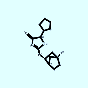 O=C1N=C(N[C@H]2C[C@@H]3CCC2C3)SC1C1CCCC1